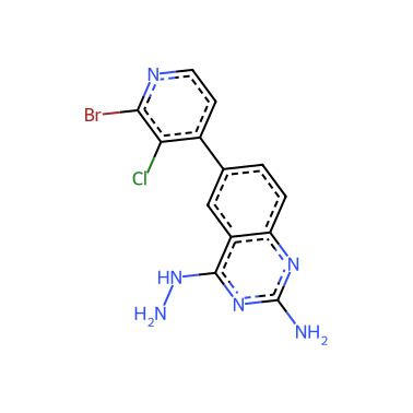 NNc1nc(N)nc2ccc(-c3ccnc(Br)c3Cl)cc12